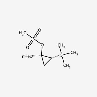 CCCCCC[C@@]1(OS(C)(=O)=O)C[C@H]1[Si](C)(C)C